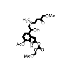 COCOC(=O)Oc1cc2c(C(O)CN(C)CCC(=O)COC)ccc(OC(C)=O)c2[nH]1